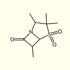 CC1C(=O)N2C(C)C(C)(C)S(=O)(=O)C12